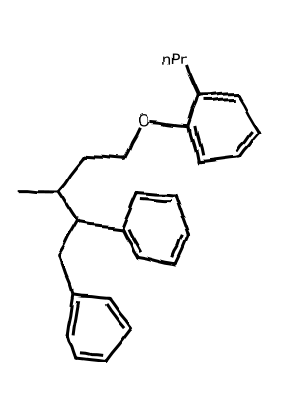 CCCc1ccccc1OCCC(C)[C](Cc1ccccc1)c1ccccc1